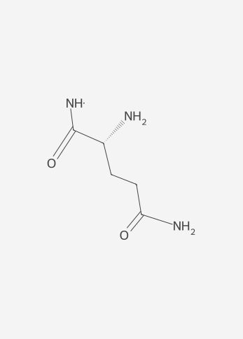 [NH]C(=O)[C@H](N)CCC(N)=O